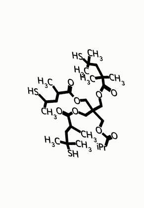 CC(S)CC(C)C(=O)OCC(COC(=O)C(C)C)(COC(=O)C(C)CC(C)(C)S)COC(=O)C(C)(C)CC(C)(C)S